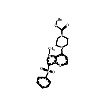 Cn1cc(S(=O)(=O)c2ccccc2)c2nccc(N3CCN(C(=O)OC(C)(C)C)CC3)c21